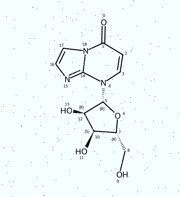 O=c1ccn([C@@H]2O[C@H](CO)[C@@H](O)[C@H]2O)c2nccn12